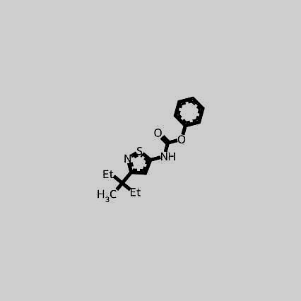 CCC(C)(CC)c1cc(NC(=O)Oc2ccccc2)sn1